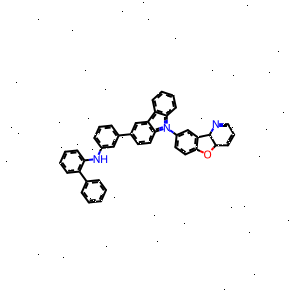 C1=CC2Oc3ccc(-n4c5ccccc5c5cc(-c6cccc(Nc7ccccc7-c7ccccc7)c6)ccc54)cc3C2N=C1